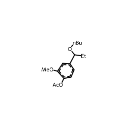 CCCCOC(CC)c1ccc(OC(C)=O)c(OC)c1